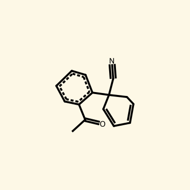 CC(=O)c1ccccc1C1(C#N)C=CC=CC1